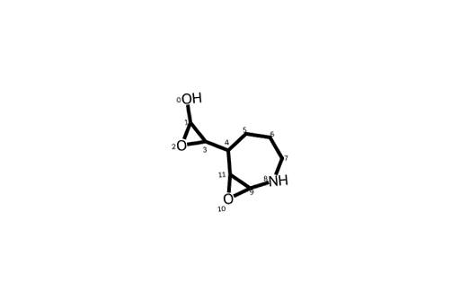 OC1OC1C1CCCNC2OC21